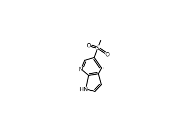 CS(=O)(=O)c1[c]c2cc[nH]c2nc1